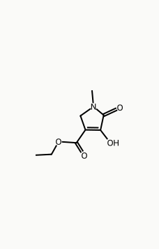 CCOC(=O)C1=C(O)C(=O)N(C)C1